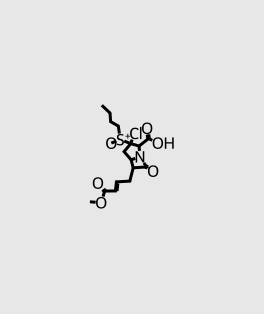 CCCC[S+]([O-])C1(Cl)CC2C(CC=CC(=O)OC)C(=O)N2C1C(=O)O